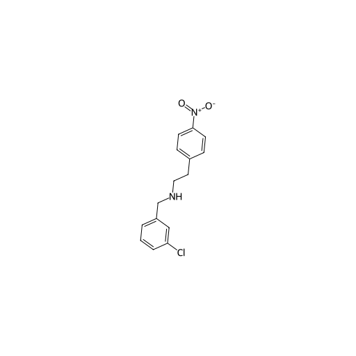 O=[N+]([O-])c1ccc(CCNCc2cccc(Cl)c2)cc1